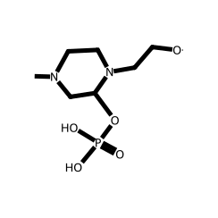 CN1CCN(CC[O])C(OP(=O)(O)O)C1